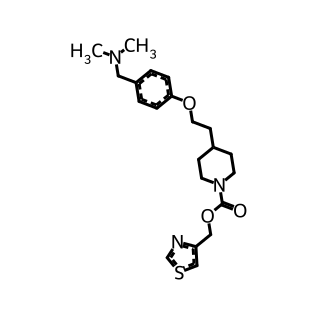 CN(C)Cc1ccc(OCCC2CCN(C(=O)OCc3cscn3)CC2)cc1